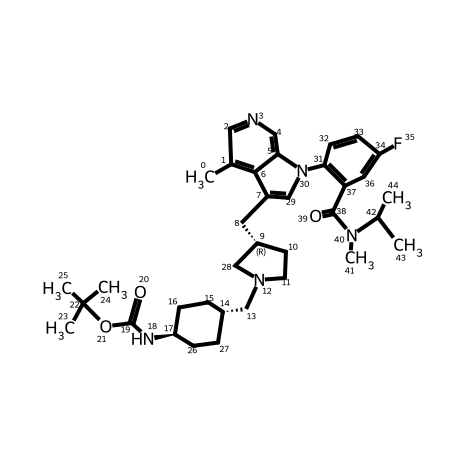 Cc1cncc2c1c(C[C@@H]1CCN(C[C@H]3CC[C@H](NC(=O)OC(C)(C)C)CC3)C1)cn2-c1ccc(F)cc1C(=O)N(C)C(C)C